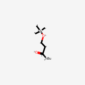 CCCCC(=O)CCO[Si](C)(C)C